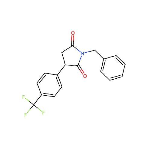 O=C1CC(c2ccc(C(F)(F)F)cc2)C(=O)N1Cc1ccccc1